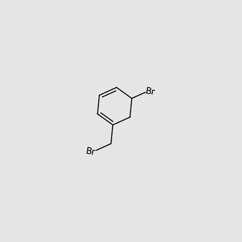 BrCC1=CC=CC(Br)C1